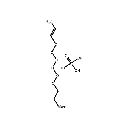 CC=COOOOOOCCCCCCCCCCCC.O=P(O)(O)O